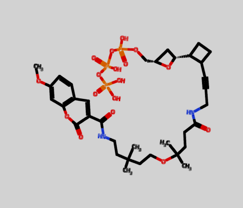 COc1ccc2cc(C(=O)NCCC(C)(C)CCOC(C)(C)CCC(=O)NCC#CC3CCC3[C@H]3C[C@@H](COP(=O)(O)OP(=O)(O)OP(=O)(O)O)O3)c(=O)oc2c1